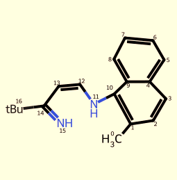 Cc1ccc2ccccc2c1N/C=C\C(=N)C(C)(C)C